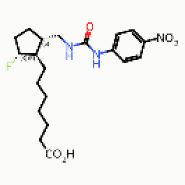 O=C(O)CCCCCC[C@@H]1[C@@H](CNC(=O)Nc2ccc([N+](=O)[O-])cc2)CC[C@H]1F